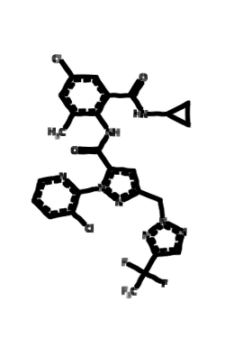 Cc1cc(Cl)cc(C(=O)NC2CC2)c1NC(=O)c1cc(Cn2ncc(C(F)(F)C(F)(F)F)n2)nn1-c1ncccc1Cl